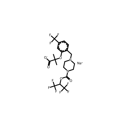 CC(C)(Oc1cc(C(F)(F)F)ccc1CN1CCN(C(=O)OC(C(F)(F)F)C(F)(F)F)CC1)C(=O)[O-].[Na+]